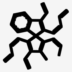 C=C/C=C\C1=C(C=C)C(C)=C(/C=C\C)C12C(/C=C\C=C)=C(C=C)c1ccccc12